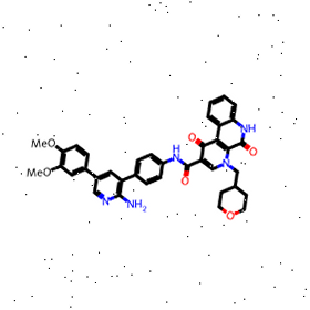 COc1ccc(-c2cnc(N)c(-c3ccc(NC(=O)c4cn(CC5CCOCC5)c5c(=O)[nH]c6ccccc6c5c4=O)cc3)c2)cc1OC